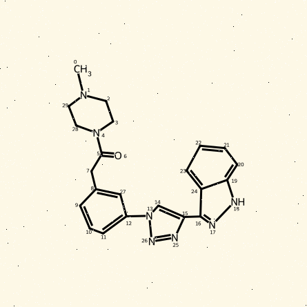 CN1CCN(C(=O)Cc2cccc(-n3cc(-c4n[nH]c5ccccc45)nn3)c2)CC1